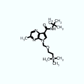 Cc1cnc2c(C(=O)NC(C)(C)C)cn(COCC[Si](C)(C)C)c2n1